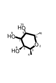 C[C@@H]1O[C@@H](C)[C@@H](O)C(O)[C@@H]1O